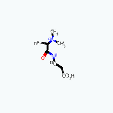 C[15N](C)C(CCC[13CH3])C(=O)N[13CH2]CC(=O)O